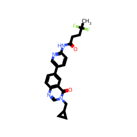 CC(F)(F)CCC(=O)Nc1ccc(-c2ccc3ncn(CC4CC4)c(=O)c3c2)cn1